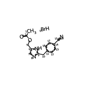 Br.CC(=O)OCc1cnc(Cc2ccc(C#N)cc2)[nH]1